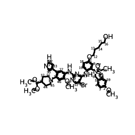 COc1ccc(CN(c2cc(OCCCCCO)ccc2Nc2nc(Nc3cc(-c4cn[nH]c4)c(N4CCC(C(OC)OC)CC4)cc3OC)ncc2Br)S(C)(=O)=O)cc1